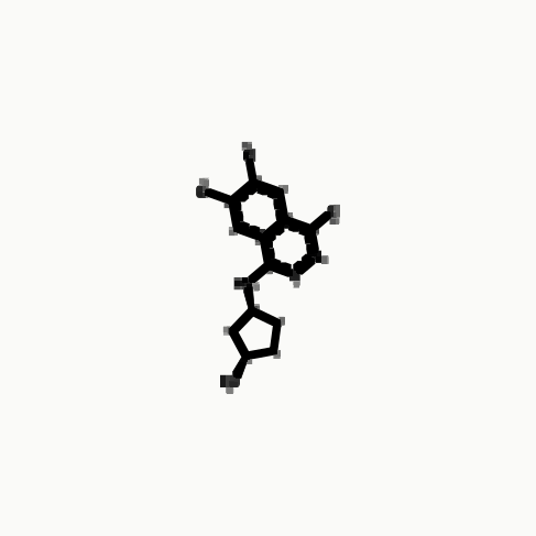 O[C@@H]1CC[C@H](Nc2nnc(Cl)c3cc(Cl)c(Cl)cc23)C1